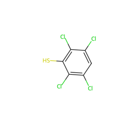 Sc1c(Cl)c(Cl)cc(Cl)c1Cl